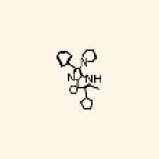 CC1=C(C2CCCC2)C(=O)C2N=C(c3ccccc3)C(N3CCCCC3)=C2N1